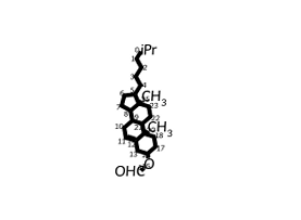 CC(C)CCCCC1CCC2C3CC=C4CC(OC=O)CCC4(C)C3CCC12C